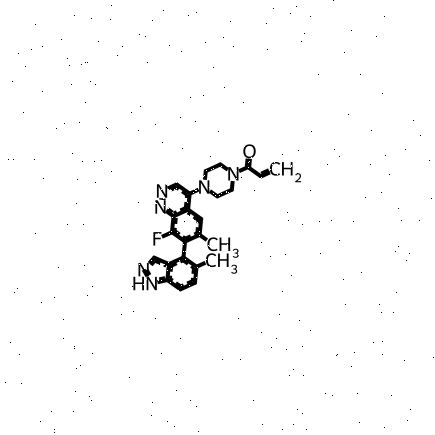 C=CC(=O)N1CCN(c2cnnc3c(F)c(-c4c(C)ccc5[nH]ncc45)c(C)cc23)CC1